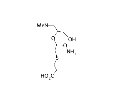 CNCC(CO)OC(CSCCC(=O)O)ON